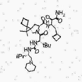 CC(C)[C@@H](CN1CCCCC1)NC(=O)N[C@H](C(=O)N1C[C@]2(C[C@H]1C(=O)NC(CC1CCC1)C(=O)C(N)=O)C(C)(C)C21CCC1)C(C)(C)C